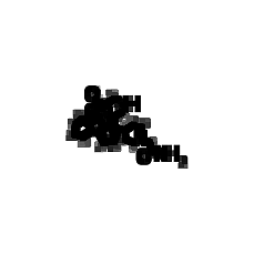 NC(=O)CN1CCC(C(=O)C2CNCC3C(=O)OC(c4ccccc4)(c4ccccc4)N32)CC1